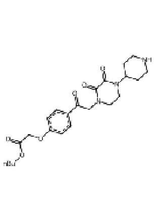 CCCCOC(=O)COc1ccc(C(=O)CN2CCN(C3CCNCC3)C(=O)C2=O)cc1